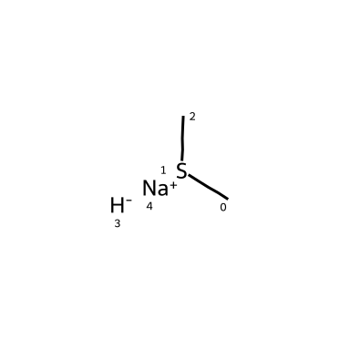 CSC.[H-].[Na+]